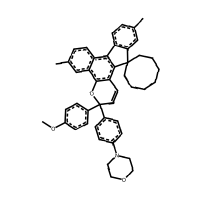 COc1ccc(C2(c3ccc(N4CCOCC4)cc3)C=Cc3c4c(c5ccc(C)cc5c3O2)-c2ccc(C)cc2C42CCCCCCC2)cc1